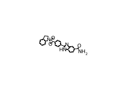 NC(=O)c1ccc2[nH]c(-c3ccc(S(=O)(=O)N4CCc5ccccc54)cc3)nc2c1